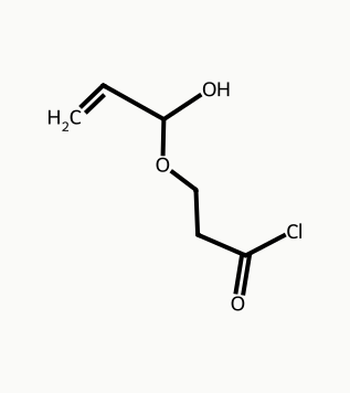 C=CC(O)OCCC(=O)Cl